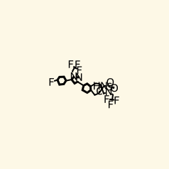 O=S1(=O)NC2(CN1CC(F)(F)F)C1CCC2Cc2cc(-c3cc(-c4ccc(F)cc4)n(CC(F)(F)F)n3)ccc2C1